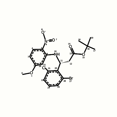 COc1ccc([N+](=O)[O-])c(N[C@H](CC(=O)OC(C)(C)C)c2c(Cl)cccc2Br)c1